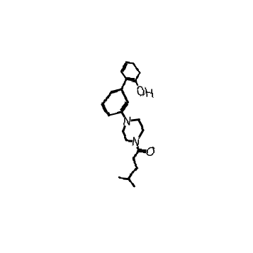 CC(C)CCC(=O)N1CCN(C2=CC(C3=C(O)CCC=C3)CCC2)CC1